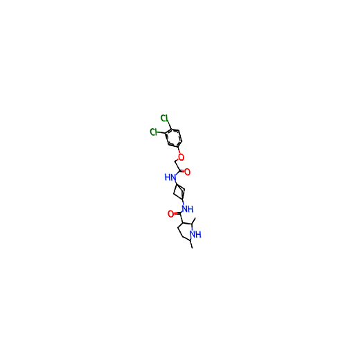 CC1CCC(C(=O)NC23CC(NC(=O)COc4ccc(Cl)c(Cl)c4)(C2)C3)C(C)N1